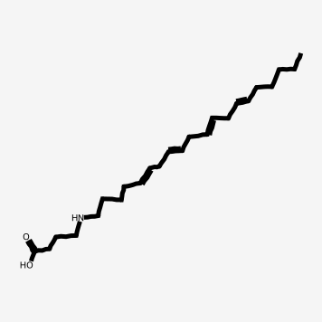 CCCCCC=CCC=CCC=CCC=CCCCCNCCCC(=O)O